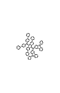 c1ccc(-c2ccc(N(c3ccc(-c4ccccc4)cc3)c3c4ccc(-c5ccccc5)cc4c(N(c4ccc5c(c4)c4ccccc4n5-c4ccccc4)c4ccc5c(c4)c4ccccc4n5-c4ccccc4)c4ccc(-c5ccccc5)cc34)cc2)cc1